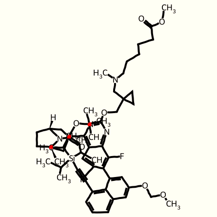 COCOc1cc(-c2c(F)cc3c(N4C[C@H]5CC[C@@](C)(C4)N5C(=O)OC(C)(C)C)nc(OCC4(CN(C)CCCCCC(=O)OC)CC4)nc3c2F)c2c(C#C[Si](C(C)C)(C(C)C)C(C)C)cccc2c1